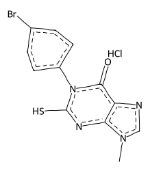 Cl.Cn1cnc2c(=O)n(-c3ccc(Br)cc3)c(S)nc21